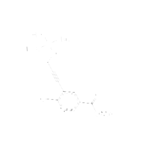 COC(=O)c1cnc(Cl)c(C#CCO[Si](C)(C)C(C)(C)C)c1